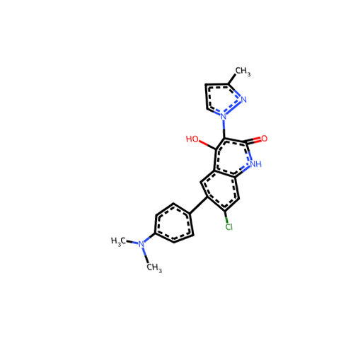 Cc1ccn(-c2c(O)c3cc(-c4ccc(N(C)C)cc4)c(Cl)cc3[nH]c2=O)n1